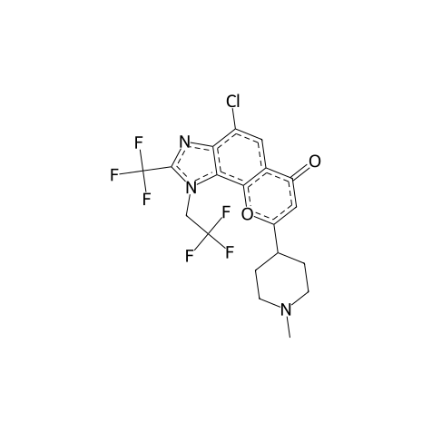 CN1CCC(c2cc(=O)c3cc(Cl)c4nc(C(F)(F)F)n(CC(F)(F)F)c4c3o2)CC1